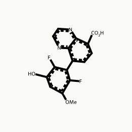 COc1cc(O)c(F)c(-c2ccc(C(=O)O)c3nccnc23)c1F